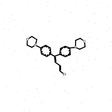 CCC=CC=C(c1ccc(N2CCOCC2)cc1)c1ccc(N2CCOCC2)cc1